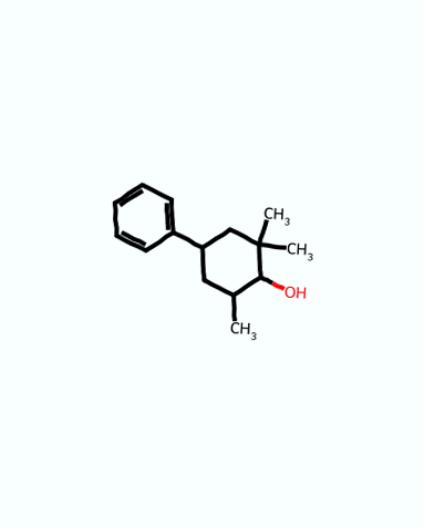 CC1CC(c2ccccc2)CC(C)(C)C1O